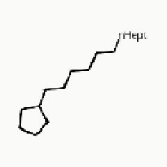 CCCCCCCCCCCC[CH]C1CCCC1